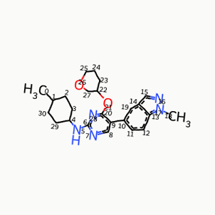 CC1CCC(Nc2ncc(-c3ccc4c(cnn4C)c3)c(OC3CCCOC3)n2)CC1